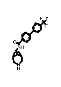 O=C(NCC1C2CCC1CNC2)c1ccc(-c2ccc(C(F)(F)F)cc2)cc1